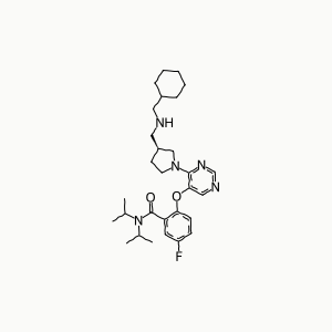 CC(C)N(C(=O)c1cc(F)ccc1Oc1cncnc1N1CC[C@@H](CNCC2CCCCC2)C1)C(C)C